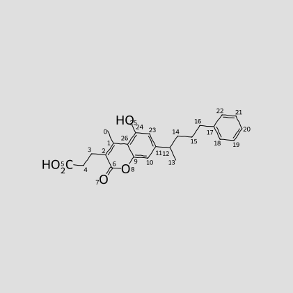 Cc1c(CCC(=O)O)c(=O)oc2cc(C(C)CCCc3ccccc3)cc(O)c12